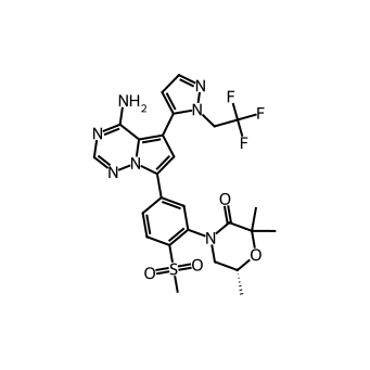 C[C@@H]1CN(c2cc(-c3cc(-c4ccnn4CC(F)(F)F)c4c(N)ncnn34)ccc2S(C)(=O)=O)C(=O)C(C)(C)O1